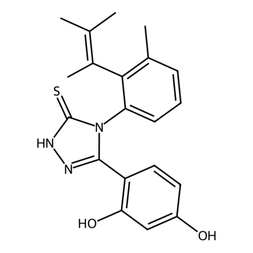 CC(C)=C(C)c1c(C)cccc1-n1c(-c2ccc(O)cc2O)n[nH]c1=S